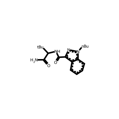 CCCCn1nc(C(=O)NC(C(N)=O)C(C)(C)C)c2ccccc21